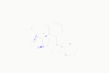 O=C(c1cccc(F)c1-n1nccn1)N1[C@@H]2CC[C@H]1[C@H](Nc1ccc(C(F)F)cn1)C2